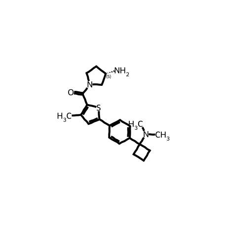 Cc1cc(-c2ccc(C3(N(C)C)CCC3)cc2)sc1C(=O)N1CC[C@H](N)C1